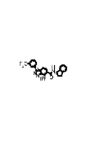 CC(C)c1c(C(=O)N[C@H]2CCc3ccccc32)ccc2c1nnn2-c1cccc(C(F)(F)F)c1